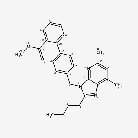 CCCCc1nc2c(C)cc(C)nc2n1Cc1ccc(-c2ccccc2C(=O)OC)cc1